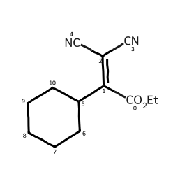 CCOC(=O)C(=C(C#N)C#N)C1CCCCC1